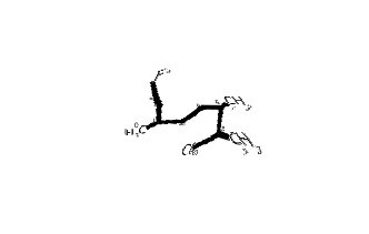 CC(CF)CCC(C)C(C)Cl